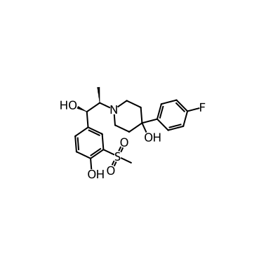 C[C@H]([C@H](O)c1ccc(O)c(S(C)(=O)=O)c1)N1CCC(O)(c2ccc(F)cc2)CC1